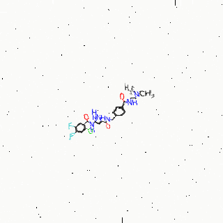 CN(C)CCNC(=O)c1ccc(CNC(=O)c2cc(NC(=O)c3cc(F)c(F)cc3Cl)[nH]n2)cc1